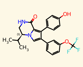 CC(C)[C@H]1CNC(=O)c2c(-c3ccc(O)cc3)c(-c3cccc(OC(F)(F)F)c3)cn21